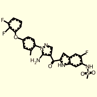 Cc1cc(Oc2cccc(F)c2F)ccc1-n1ncc(C(=O)c2cc3cc(F)c(NS(C)(=O)=O)cc3[nH]2)c1N